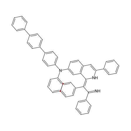 N=C(/C(=C1\NC(c2ccccc2)=Cc2ccc(N(c3ccccc3)c3ccc(-c4ccc(-c5ccccc5)cc4)cc3)cc21)c1ccccc1)c1ccccc1